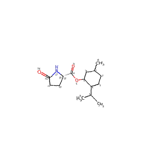 CC1CCC(C(C)C)C(OC(=O)[C@@H]2CCC(=O)N2)C1